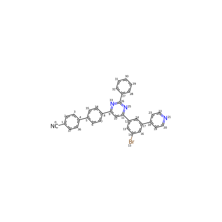 N#Cc1ccc(-c2ccc(-c3cc(-c4cc(Br)cc(-c5ccncc5)c4)nc(-c4ccccc4)n3)cc2)cc1